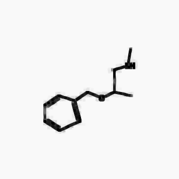 CN[CH]C(C)OCc1ccccc1